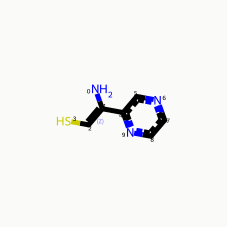 N/C(=C\S)c1cnccn1